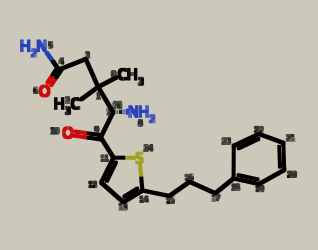 CC(C)(CC(N)=O)[C@H](N)C(=O)c1ccc(CCCc2ccccc2)s1